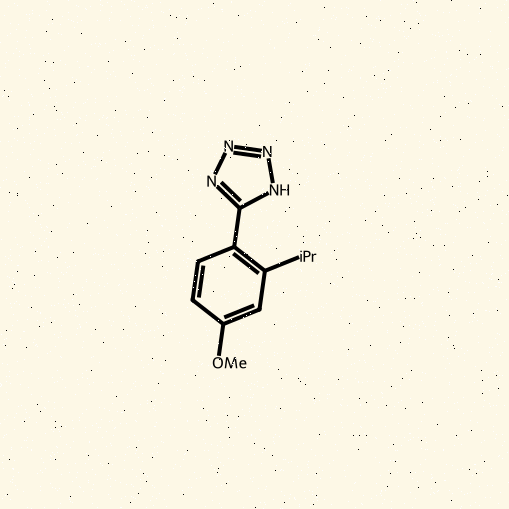 COc1ccc(-c2nnn[nH]2)c(C(C)C)c1